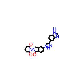 O=C1c2ccc(-n3cc(-c4ccc5[nH]cnc5c4)nn3)cc2CN1N1C(=O)CCCC1=O